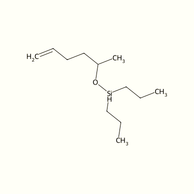 C=CCCC(C)O[SiH](CCC)CCC